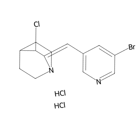 Cl.Cl.ClC1C(=Cc2cncc(Br)c2)N2CCC1CC2